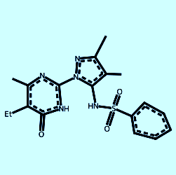 CCc1c(C)nc(-n2nc(C)c(C)c2NS(=O)(=O)c2ccccc2)[nH]c1=O